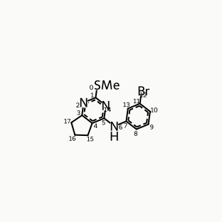 CSc1nc2c(c(Nc3cccc(Br)c3)n1)CCC2